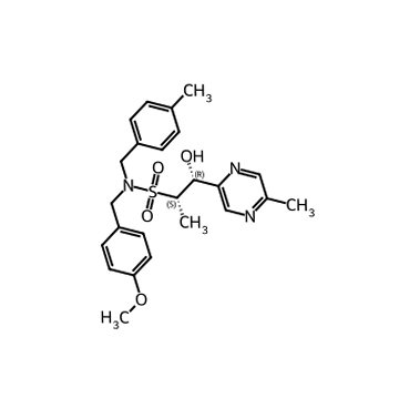 COc1ccc(CN(Cc2ccc(C)cc2)S(=O)(=O)[C@@H](C)[C@H](O)c2cnc(C)cn2)cc1